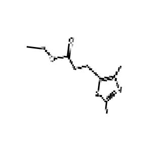 CCOC(=O)CCc1sc(C)nc1C